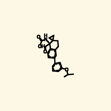 CC(C)Oc1cccc(-c2ccc3c(c2)CCC2(CC2)[C@]3(C=O)NC(=O)O)c1